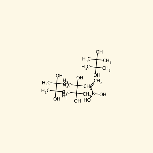 C=CB(O)O.CC(C)(O)C(C)(C)O.CC(C)(O)C(C)(C)O.CC(C)(O)C(C)(C)O